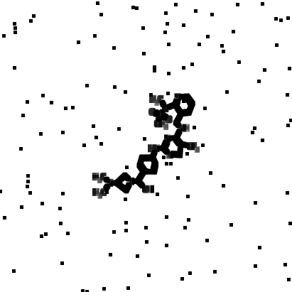 CN(C)C1CN(C(O)c2ccc(Nc3ncc(C(F)(F)F)c(NCc4cccnc4N(C)S(C)(=O)=O)n3)cc2)C1